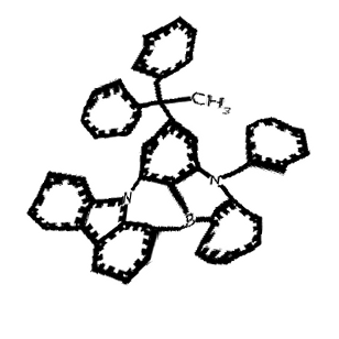 CC(c1ccccc1)(c1ccccc1)c1cc2c3c(c1)-n1c4ccccc4c4cccc(c41)B3c1ccccc1N2c1ccccc1